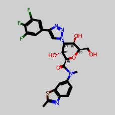 Cc1nc2ccc(N(C)C(=O)[C@@H]3O[C@H](CO)[C@H](O)[C@H](n4cc(-c5cc(F)c(F)c(F)c5)nn4)[C@H]3O)cc2s1